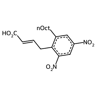 CCCCCCCCc1cc([N+](=O)[O-])cc([N+](=O)[O-])c1C/C=C/C(=O)O